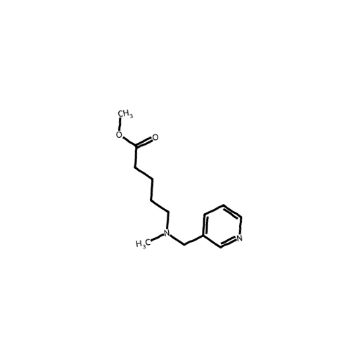 COC(=O)CCCCN(C)Cc1cccnc1